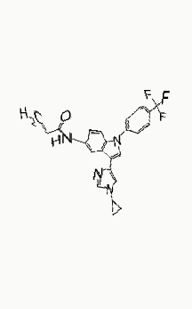 C=CC(=O)Nc1ccc2c(c1)c(-c1cn(C3CC3)cn1)cn2-c1ccc(C(F)(F)F)cc1